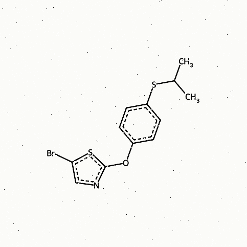 CC(C)Sc1ccc(Oc2ncc(Br)s2)cc1